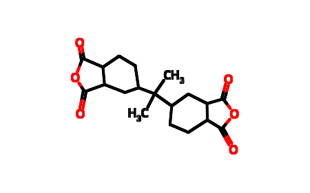 CC(C)(C1CCC2C(=O)OC(=O)C2C1)C1CCC2C(=O)OC(=O)C2C1